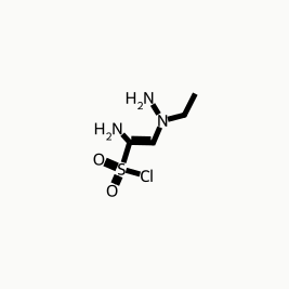 CCN(N)/C=C(\N)S(=O)(=O)Cl